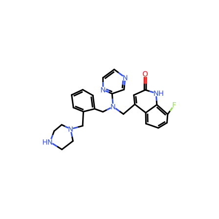 O=c1cc(CN(Cc2ccccc2CN2CCNCC2)c2cnccn2)c2cccc(F)c2[nH]1